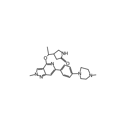 CC(Oc1nc(-c2ccc(N3CCN(C)CC3)cc2)cc2nn(C)cc12)C1CNC(=O)C1